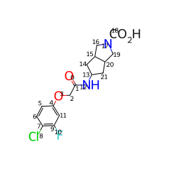 O=C(COc1ccc(Cl)c(F)c1)NC1CC2CN(C(=O)O)CC2C1